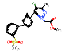 COC(=O)Cn1nc(C)c(Cl)c1-c1ccc(-c2cccc(S(C)(=O)=O)c2)cc1